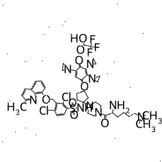 Cc1ccc2cccc(OCc3c(Cl)ccc(S(=O)(=O)NC4(N5CCN(C(=O)C(N)CCCCN(C)C)CC5)CCCC4)c3Cl)c2n1.O=C(O)C(F)(F)F.O=C1C=C(N2CC2)C(=O)C(N2CC2)=C1N1CC1